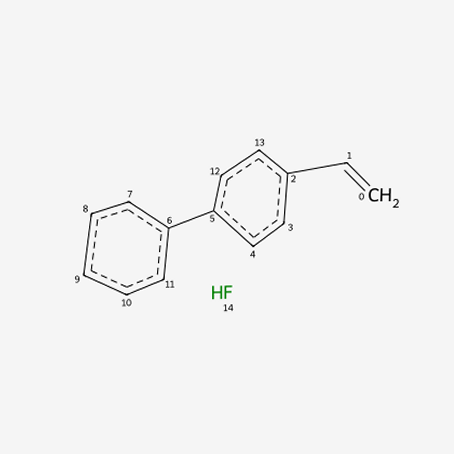 C=Cc1ccc(-c2ccccc2)cc1.F